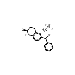 Br.O.O.O=C1CCc2cc(C(Br)c3ccccc3)ccc2N1